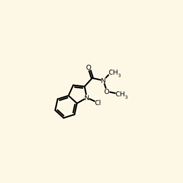 CON(C)C(=O)c1cc2ccccc2n1Cl